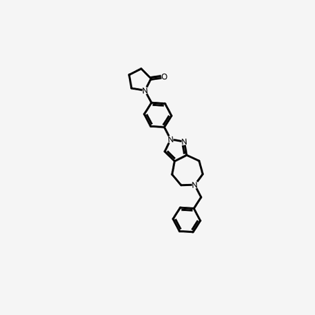 O=C1CCCN1c1ccc(-n2cc3c(n2)CCN(Cc2ccccc2)CC3)cc1